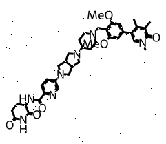 COc1cc(-c2cn(C)c(=O)c(C)c2C)cc(OC)c1CN1CCC(N2CC3CN(c4ccc(C(=O)NC5CCC(=O)NC5=O)nc4)CC3C2)CC1